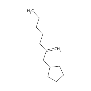 C=C(CCCCC)CC1CCCC1